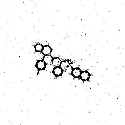 Cc1ccc(C2C3=C(CCN2C(=O)C[C@@H](NS(=O)(=O)c2ccc4ccccc4c2)c2ccccc2)SCC3)cc1